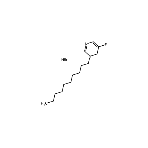 Br.CCCCCCCCCCN1C=NC=C(F)C1